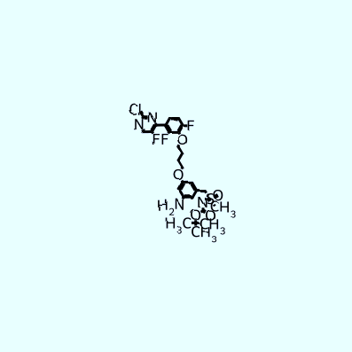 CC(C)(C)OC(=O)N=S(C)(=O)Cc1cc(N)cc(OCCCCOc2c(F)ccc(-c3nc(Cl)ncc3F)c2F)c1